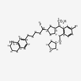 O=C(O)C(c1cc(F)ccc1CO[C@H]1CCOC1)N1CC[C@@H](C(F)CCCCc2ccc3c(n2)NCCC3)C1